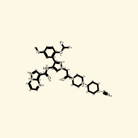 CSc1ccc(OC(F)F)c(-c2nn(CC(=O)N3CCN([C@H]4CC[C@@H](C#N)CC4)CC3)cc2NC(=O)c2cnn3cccnc23)c1